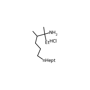 CCCCCCCCCCC(C)C(C)(N)CC.Cl